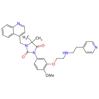 COc1ccc(N2C(=O)N(Cc3ccnc4ccccc34)C(C)(C)C2=O)cc1OCCNCCc1ccncc1